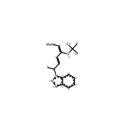 CN/C=C(\C=CC(C)n1nnc2ccccc21)OC(C)(F)F